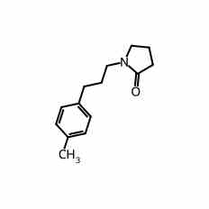 Cc1ccc(CCCN2CCCC2=O)cc1